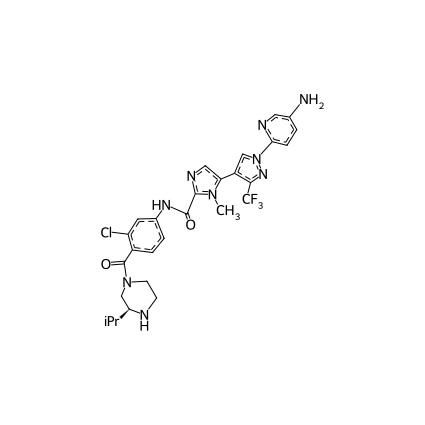 CC(C)[C@H]1CN(C(=O)c2ccc(NC(=O)c3ncc(-c4cn(-c5ccc(N)cn5)nc4C(F)(F)F)n3C)cc2Cl)CCN1